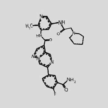 Cc1ncc(NC(=O)CN2CCCCC2)cc1NC(=O)c1cnn2cc(-c3ccc(F)c(C(N)=O)c3)ncc12